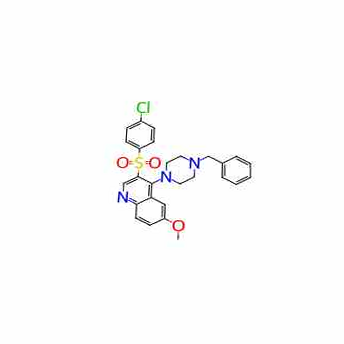 COc1ccc2ncc(S(=O)(=O)c3ccc(Cl)cc3)c(N3CCN(Cc4ccccc4)CC3)c2c1